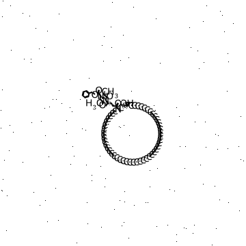 C[C@H]1C(=O)N2[C@@H](CCC(=O)N3CCCCCCCCCCCCCCCCCCCCCCCCCCCCCCCCCCCCCCCCCCCCCCCCC4(CC4)[C@H](O)C3)COC2(C)CN1C(=O)OCc1ccccc1